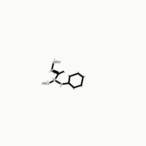 CCCCCCCC/N=C(\C)N(CCCCCCCC)SC1CCCCC1